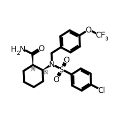 NC(=O)[C@@H]1CCCC[C@@H]1N(Cc1ccc(OC(F)(F)F)cc1)S(=O)(=O)c1ccc(Cl)cc1